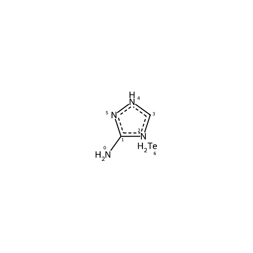 Nc1nc[nH]n1.[TeH2]